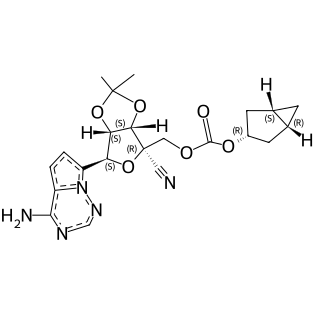 CC1(C)O[C@H]2[C@H](c3ccc4c(N)ncnn34)O[C@](C#N)(COC(=O)O[C@@H]3C[C@@H]4C[C@@H]4C3)[C@H]2O1